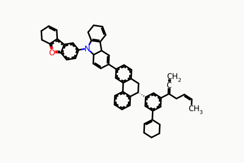 C=C=C(C/C=C\C)c1cc(C2=CCCCC2)cc([C@H]2Cc3ccc(C4=CC5C6=C(CCC=C6)N(c6ccc7oc8c(c7c6)C=CCC8)C5C=C4)cc3-c3ccccc32)c1